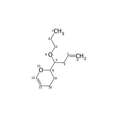 C=CCC(OCCC)C1CCC=CO1